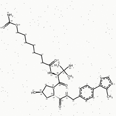 Cc1ncsc1-c1ccc(CNC(=O)[C@@H]2C[C@@H](O)CN2C(=O)[C@@H](NC(=O)CCCCCCCOC(N)=O)C(C)(C)S)cc1